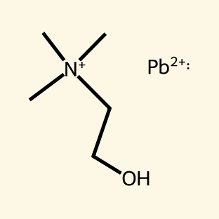 C[N+](C)(C)CCO.[Pb+2]